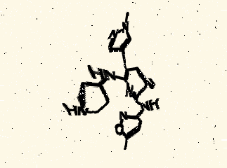 Cc1cc(Nc2ncc(-c3cnn(C)c3)c(NC3CCNCC3)n2)no1